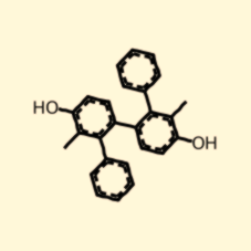 Cc1c(O)ccc(-c2ccc(O)c(C)c2-c2ccccc2)c1-c1ccccc1